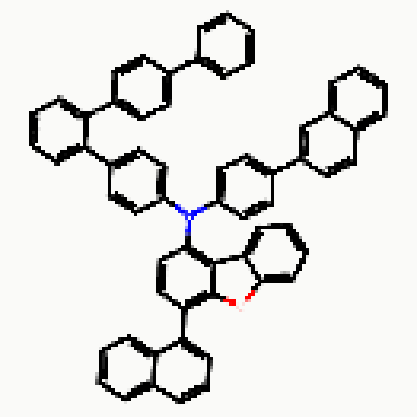 c1ccc(-c2ccc(-c3ccccc3-c3ccc(N(c4ccc(-c5ccc6ccccc6c5)cc4)c4ccc(-c5cccc6ccccc56)c5oc6ccccc6c45)cc3)cc2)cc1